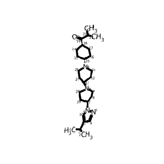 CC(C)c1cnn(C2CCN(C3CCN([C@H]4CC[C@H](C(=O)C(C)C)CC4)CC3)CC2)c1